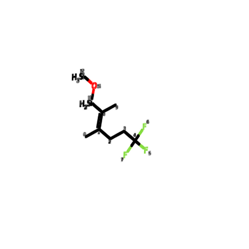 CC(CCC(F)(F)F)=C(C)[SiH2]O[SiH3]